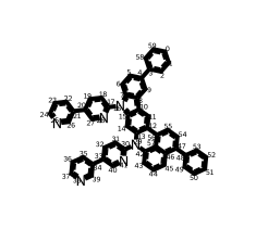 c1ccc(-c2ccc3c(c2)c2cc4c(cc2n3-c2ccc(-c3cccnc3)cn2)N(c2ccc(-c3cccnc3)cn2)c2cccc3c(-c5ccccc5)ccc-4c23)cc1